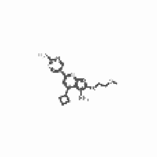 COCCSc1sc2nc(-c3cnc(N)nc3)cc(C3CCC3)c2c1N